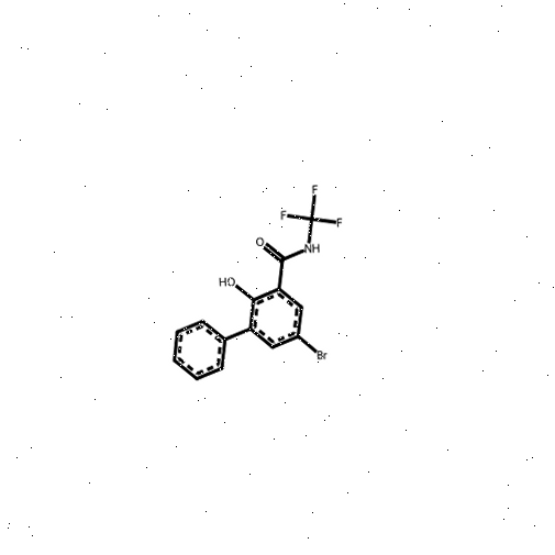 O=C(NC(F)(F)F)c1cc(Br)cc(-c2ccccc2)c1O